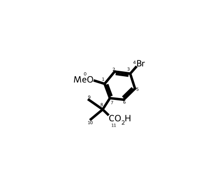 COc1cc(Br)ccc1C(C)(C)C(=O)O